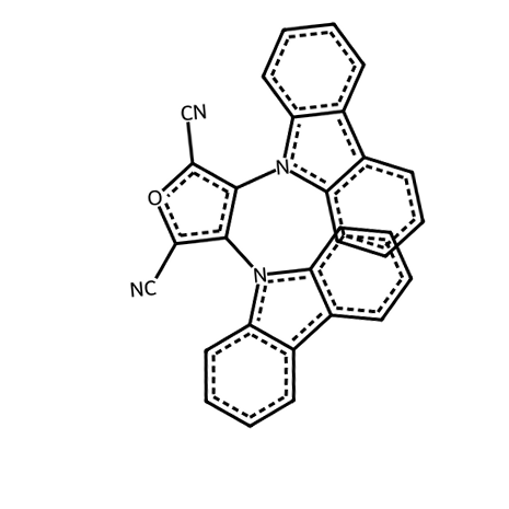 N#Cc1oc(C#N)c(-n2c3ccccc3c3ccccc32)c1-n1c2ccccc2c2ccccc21